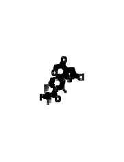 C[C@@H]1C[C@]2(C[C@H](C)N1C(=O)C(F)(F)F)OCC(=O)c1cc(Cl)sc12